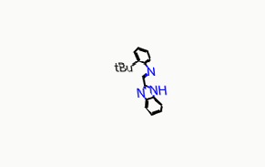 CC(C)(C)c1ccccc1/N=C/c1nc2ccccc2[nH]1